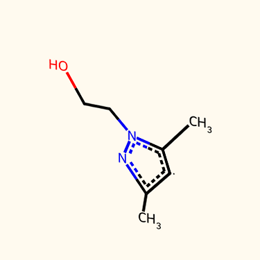 Cc1[c]c(C)n(CCO)n1